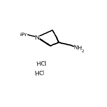 CC(C)N1CC(N)C1.Cl.Cl